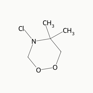 CC1(C)COOCN1Cl